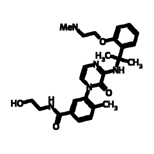 CNCCOc1ccccc1C(C)(C)Nc1nccn(-c2cc(C(=O)NCCO)ccc2C)c1=O